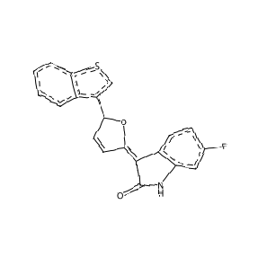 O=C1Nc2cc(F)ccc2/C1=C1/C=CC(c2csc3ccccc23)O1